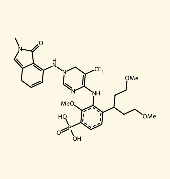 COCCC(CCOC)c1ccc(P(=O)(O)O)c(OC)c1NC1=C(C(F)(F)F)CN(NC2=C3C(=O)N(C)C=C3CC=C2)C=N1